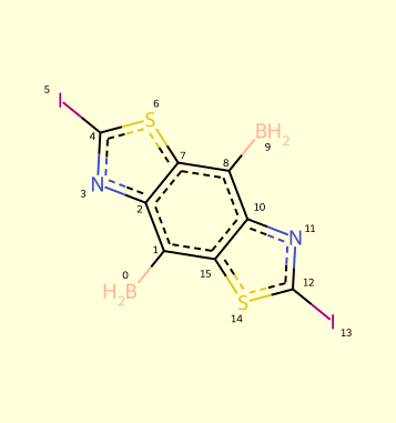 Bc1c2nc(I)sc2c(B)c2nc(I)sc12